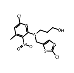 Cc1cc(Cl)nc(N(CCCO)Cc2cnc(Cl)s2)c1[N+](=O)[O-]